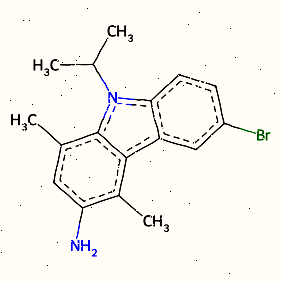 Cc1c(N)cc(C)c2c1c1cc(Br)ccc1n2C(C)C